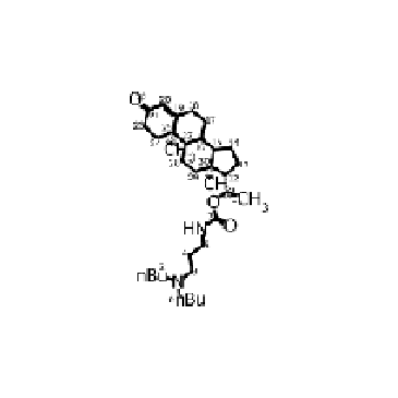 CCCCN(CCCC)CCCNC(=O)OC(C)[C@H]1CCC2C3CCC4=CC(=O)CC[C@]4(C)C3CC[C@@]21C